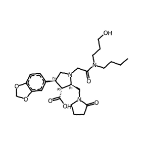 CCCCN(CCCO)C(=O)CN1C[C@H](c2ccc3c(c2)OCO3)[C@@H](C(=O)O)[C@@H]1CN1CCCC1=O